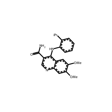 COc1cc2ncc(C(N)=O)c(Nc3ccccc3C(C)C)c2cc1OC